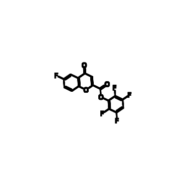 O=C(Oc1c(F)c(F)cc(F)c1F)c1cc(=O)c2cc(F)ccc2o1